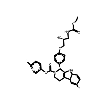 CCOC(=O)NC[C@@H](O)COc1ccc([C@H]2C3=C(CCN2C(=O)Oc2ccc(F)cc2)C2C=C(Cl)C=CC2N3)cc1